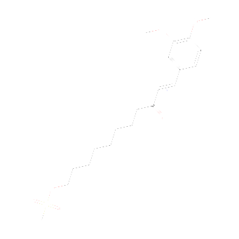 COc1ccc(/C=C/C(=O)CCCCCCCCOS(C)(=O)=O)cc1OC